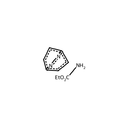 CCOC(N)=O.c1cc2ccc1nn2